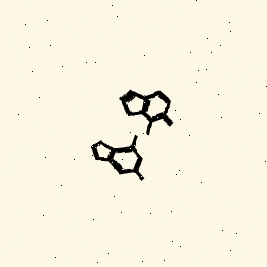 Cc1cc(C)c2c(c1)C=CC2.Cc1ccc2c(c1C)CC=C2